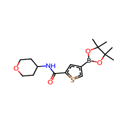 CC1(C)OB(c2csc(C(=O)NC3CCOCC3)c2)OC1(C)C